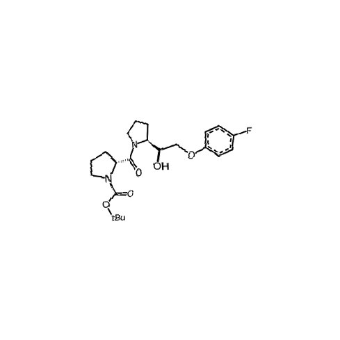 CC(C)(C)OC(=O)N1CCC[C@@H]1C(=O)N1CCC[C@H]1C(O)COc1ccc(F)cc1